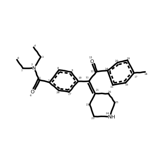 CCN(CC)C(=O)c1ccc(C(C(=O)c2ccc(C)cc2)=C2CCNCC2)cc1